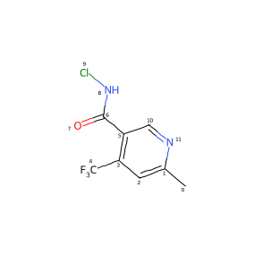 Cc1cc(C(F)(F)F)c(C(=O)NCl)cn1